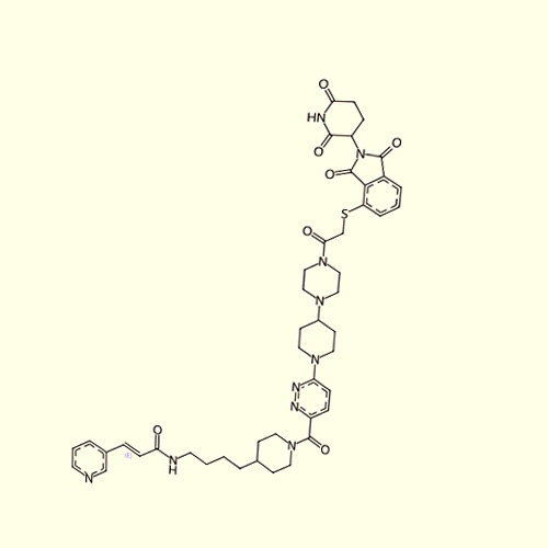 O=C(/C=C/c1cccnc1)NCCCCC1CCN(C(=O)c2ccc(N3CCC(N4CCN(C(=O)CSc5cccc6c5C(=O)N(C5CCC(=O)NC5=O)C6=O)CC4)CC3)nn2)CC1